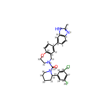 Cc1nc2ccc(-c3ccc4c(c3)CN(C(=O)N3CCCCC3c3cc(F)cc(Cl)c3)CCO4)cc2[nH]1